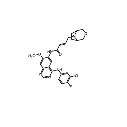 COc1cc2ncnc(Nc3ccc(F)c(Cl)c3)c2cc1NC(=O)/C=C/CN1C2CCC1COC2